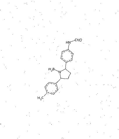 BN1C(c2ccc(C)cc2)CCC1c1ccc(NC=O)cc1